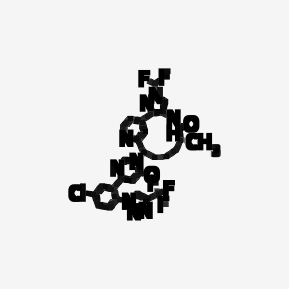 C[C@@H]1CCC[C@H](n2cnc(-c3cc(Cl)ccc3-n3cc(C(F)(F)F)nn3)cc2=O)c2cc(ccn2)-c2nn(C(F)F)cc2NC1=O